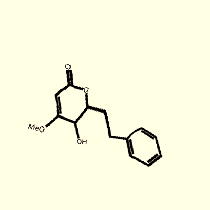 COC1=CC(=O)OC(CCc2ccccc2)C1O